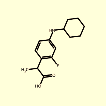 CC(C(=O)O)c1ccc(NC2CCCCC2)cc1F